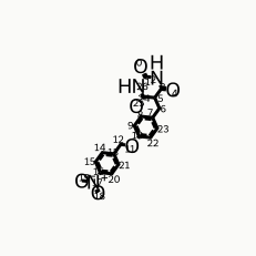 O=C1NC(=O)C(Cc2ccc(OCc3ccc([N+](=O)[O-])cc3)cc2)C(=O)N1